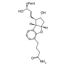 CCCCC[C@H](O)C=C[C@@H]1[C@H]2c3cccc(CCCC(N)=O)c3O[C@H]2C[C@H]1O